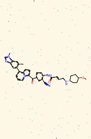 CO[C@H]1CC[C@H](NC/C=C/C(=O)Nc2ccc(C(=O)c3ccc4c(-c5cc6ncn(C)c6cc5C)cccn34)cc2C#N)CC1